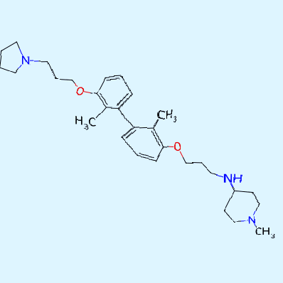 Cc1c(OCCCNC2CCN(C)CC2)cccc1-c1cccc(OCCCN2CCCC2)c1C